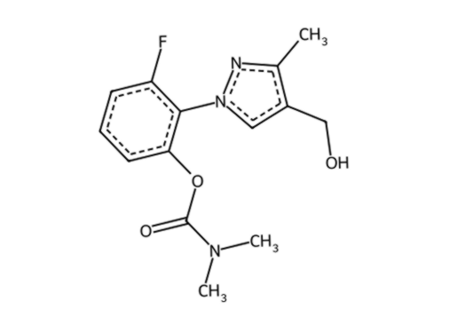 Cc1nn(-c2c(F)cccc2OC(=O)N(C)C)cc1CO